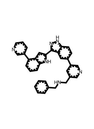 c1ccc(CNCc2cncc(-c3ccc4[nH]nc(-c5cc6c(-c7cccnc7)cccc6[nH]5)c4c3)c2)cc1